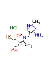 C/C(=C(\CCO)CCS)N(C=O)Cc1cnc(C)nc1N.Cl